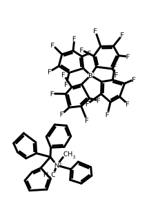 C[N+](C)(c1ccccc1)C(c1ccccc1)(c1ccccc1)c1ccccc1.Fc1c(F)c(F)c([B-](c2c(F)c(F)c(F)c(F)c2F)(c2c(F)c(F)c(F)c(F)c2F)c2c(F)c(F)c(F)c(F)c2F)c(F)c1F